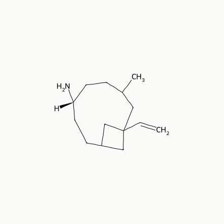 C=CC12CC(C)CC[C@@H](N)CCC(C1)C2